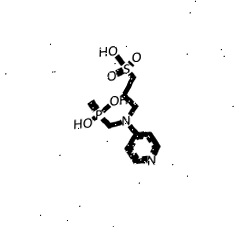 C=P(O)(O)CN(CCCS(=O)(=O)O)c1ccncc1